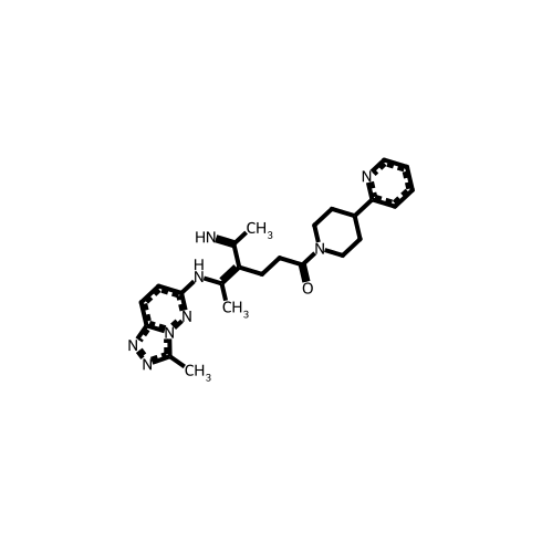 CC(=N)/C(CCC(=O)N1CCC(c2ccccn2)CC1)=C(/C)Nc1ccc2nnc(C)n2n1